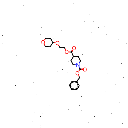 O=C(OCCOC1CCOCC1)C1CCN(C(=O)OCc2ccccc2)CC1